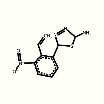 C=Cc1c(C2N=NC(N)S2)cccc1[N+](=O)[O-]